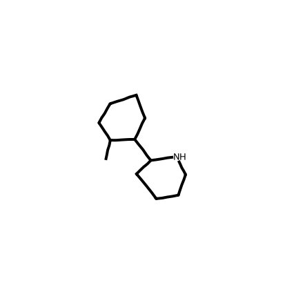 CC1CCCCC1C1CCCCN1